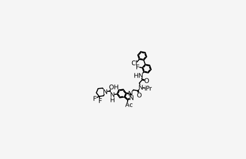 CC(=O)c1nn(CC(=O)N(CC(=O)Nc2cccc(-c3ccccc3Cl)c2F)C(C)C)c2ccc(NC(O)N3CCCC(F)(F)C3)cc12